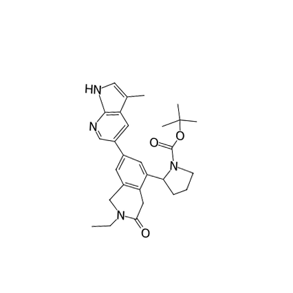 CCN1Cc2cc(-c3cnc4[nH]cc(C)c4c3)cc(C3CCCN3C(=O)OC(C)(C)C)c2CC1=O